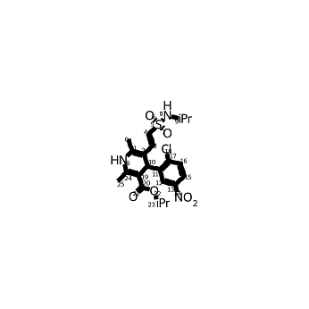 CC1=C(C=CS(=O)(=O)NC(C)C)C(c2cc([N+](=O)[O-])ccc2Cl)C(C(=O)OC(C)C)=C(C)N1